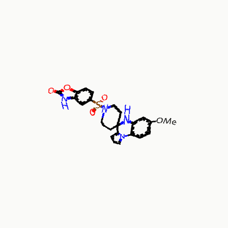 COc1ccc2c(c1)NC1(CCN(S(=O)(=O)c3ccc4oc(=O)[nH]c4c3)CC1)c1cccn1-2